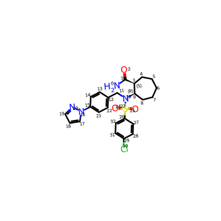 NC(=O)[C@H]1CCCCC[C@H]1N(Cc1ccc(-n2cccn2)cc1)S(=O)(=O)c1ccc(Cl)cc1